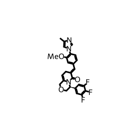 COc1cc(C=C2CC=C3COC[C@H](c4cc(F)c(F)c(F)c4)N3C2=O)ccc1-n1cnc(C)c1